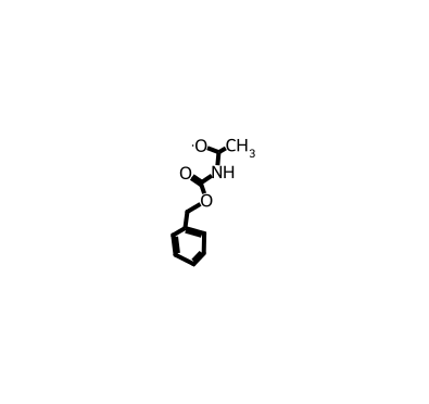 CC([O])NC(=O)OCc1ccccc1